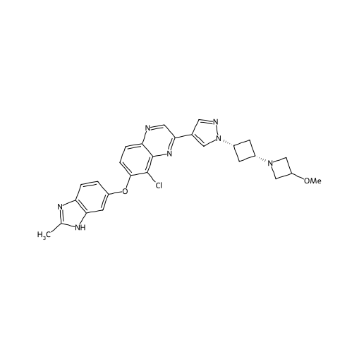 COC1CN([C@H]2C[C@@H](n3cc(-c4cnc5ccc(Oc6ccc7nc(C)[nH]c7c6)c(Cl)c5n4)cn3)C2)C1